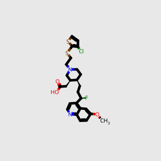 COc1ccc2nccc([C@H](F)CC[C@@H]3CCN(CCSc4sccc4Cl)C[C@@H]3CC(=O)O)c2c1